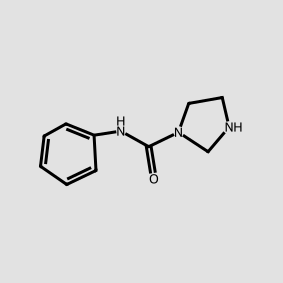 O=C(Nc1ccccc1)N1CCNC1